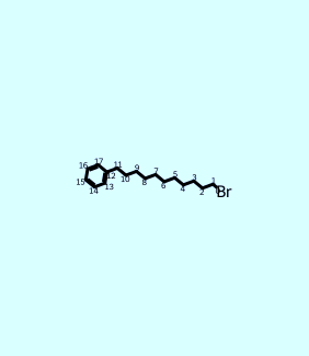 BrCCCCCCCCCCCc1ccccc1